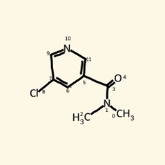 CN(C)C(=O)c1[c]c(Cl)cnc1